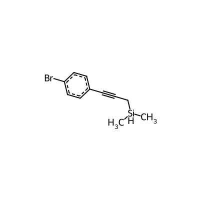 C[SiH](C)CC#Cc1ccc(Br)cc1